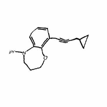 CC(C)N1CCCOc2c(C#CC3CC3)cccc21